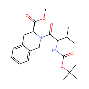 COC(=O)[C@@H]1Cc2ccccc2CN1C(=O)[C@@H](NC(=O)OC(C)(C)C)C(C)C